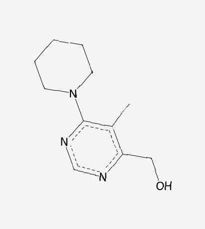 Cc1c(CO)ncnc1N1CCCCC1